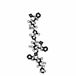 Cn1c(-c2nc3ccccc3n2C2CC(Cn3c(-c4nc5ccccc5n4C4CCC4)nc(C(=O)NC4CC(=O)N(N5CC(NC(=O)c6nc(-c7nc8ccccc8n7C7CCC7)n(C)c(=O)c6O)CC5=O)C4)c(O)c3=O)C2)nc(C(=O)Nc2cncnc2)c(O)c1=O